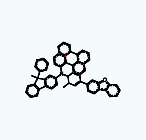 CC1C=C(c2ccc3c(c2)oc2ccccc23)C=CC1N(c1ccc2c(c1)C(C)(c1ccccc1)c1ccccc1-2)c1ccccc1-c1cccc2cccc(-c3ccccc3)c12